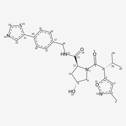 Cc1cc([C@H](C(=O)N2C[C@H](O)C[C@H]2C(=O)NCc2ccc(-c3cncs3)cc2)C(C)C)on1